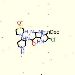 CCCCCCCCCCC1C(Cl)CNC2C(C(=O)NC3CNCCC3N3CC[S+]([O-])CC3)C(N)NN12